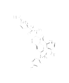 CC(C)N([C@H]1CCC2=Cc3c(cnn3-c3ccc(F)cc3)C[C@]2(C(=O)c2cc(C(F)(F)F)ccn2)C1)S(=O)(=O)c1ccn(C)n1